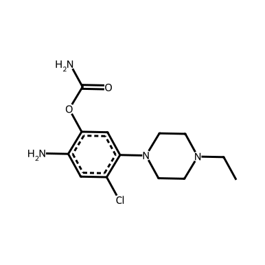 CCN1CCN(c2cc(OC(N)=O)c(N)cc2Cl)CC1